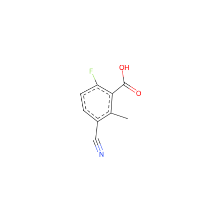 Cc1c(C#N)ccc(F)c1C(=O)O